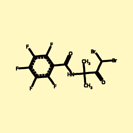 CC(C)(NC(=O)c1c(F)c(F)c(F)c(F)c1F)C(=O)C(Br)Br